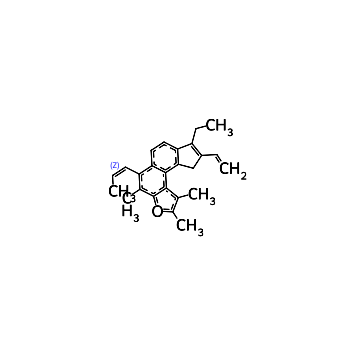 C=CC1=C(CC)c2ccc3c(/C=C\C)c(C)c4oc(C)c(C)c4c3c2C1